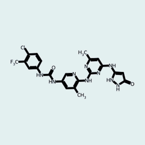 Cc1cc(Nc2cc(=O)[nH][nH]2)nc(Nc2ncc(NC(=O)Nc3ccc(Cl)c(C(F)(F)F)c3)cc2C)n1